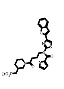 CCOC(=O)CC1CCCN(C(=O)CCCN(C(=O)c2cccs2)c2nc(-c3cc4ccccc4o3)cs2)C1